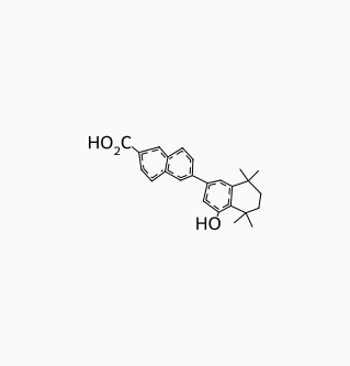 CC1(C)CCC(C)(C)c2c(O)cc(-c3ccc4cc(C(=O)O)ccc4c3)cc21